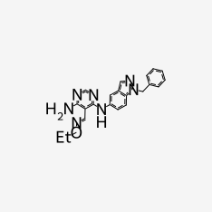 CCON=Cc1c(N)ncnc1Nc1ccc2c(cnn2Cc2ccccc2)c1